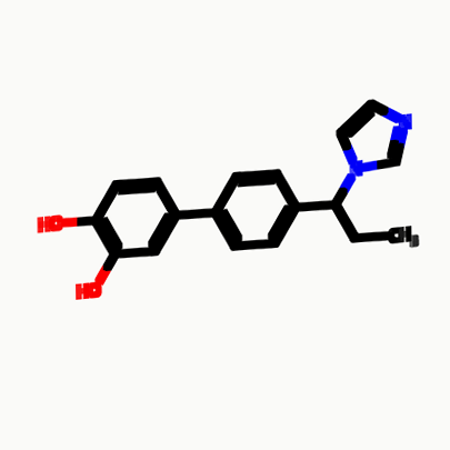 CCC(c1ccc(-c2ccc(O)c(O)c2)cc1)n1ccnc1